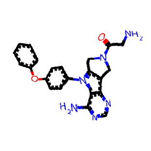 NCC(=O)N1Cc2c(n(-c3ccc(Oc4ccccc4)cc3)c3c(N)ncnc23)C1